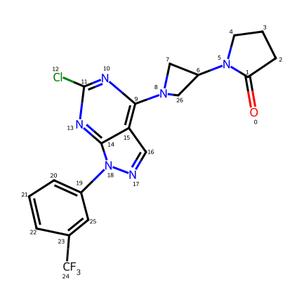 O=C1CCCN1C1CN(c2nc(Cl)nc3c2cnn3-c2cccc(C(F)(F)F)c2)C1